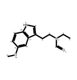 CCN(C=O)CCc1c[nH]c2ccc(OC)cc12